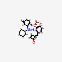 Cc1ccc([N+](=O)[O-])c(N(N)C2CCCCC2)c1.O=C1C=CC1=Cc1ccc2c(c1)OCO2